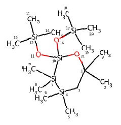 CC1(C)C[Si](C)(C)[Si](C)(C)[Si](O[Si](C)(C)C)(O[Si](C)(C)C)O1